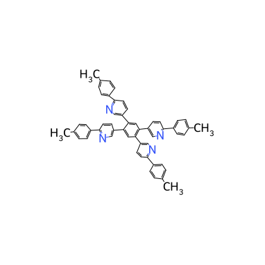 Cc1ccc(-c2ccc(-c3cc(-c4ccc(-c5ccc(C)cc5)nc4)c(-c4ccc(-c5ccc(C)cc5)nc4)cc3-c3ccc(-c4ccc(C)cc4)nc3)cn2)cc1